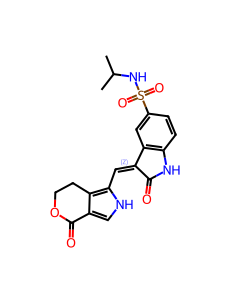 CC(C)NS(=O)(=O)c1ccc2c(c1)/C(=C/c1[nH]cc3c1CCOC3=O)C(=O)N2